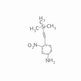 C[Si](C)(C)C#Cc1ccc(N)cc1[N+](=O)[O-]